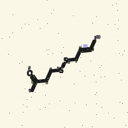 CC(=O)CCSSC/C=C/I